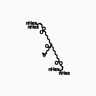 CCCCCCC(/C=C\COC(=O)CCCCCCCP(CCCCCCCC(=O)OC/C=C\C(CCCCCC)CCCCCC)C(=O)CCCN(C)C)CCCCCC